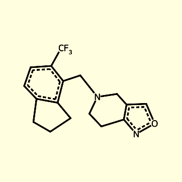 FC(F)(F)c1ccc2c(c1CN1CCc3nocc3C1)CCC2